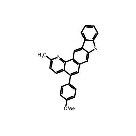 COc1ccc(-c2cc3cc4sc5ccccc5c4cc3c3nc(C)ccc23)cc1